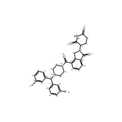 O=C1CCC(N2Cc3c(C(=O)N4CCN(C(c5cccc(F)c5)c5cccc(F)c5)CC4)cccc3C2=O)C(=O)N1